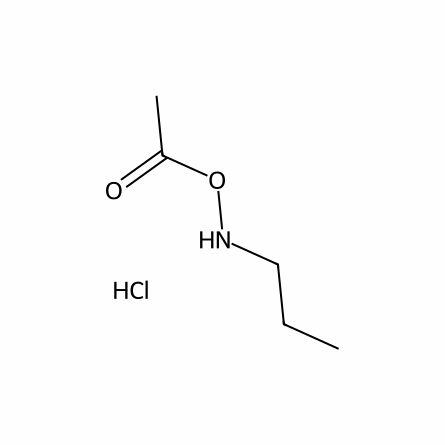 CCCNOC(C)=O.Cl